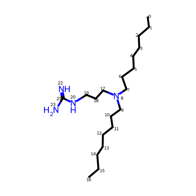 CCCCCCCCN(CCCCCCCC)CCCNC(=N)N